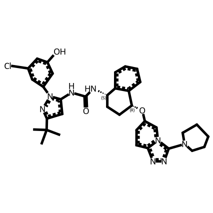 CC(C)(C)c1cc(NC(=O)N[C@H]2CC[C@@H](Oc3ccc4nnc(N5CCCCC5)n4c3)c3ccccc32)n(-c2cc(O)cc(Cl)c2)n1